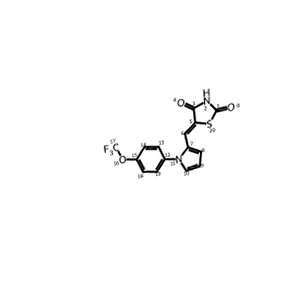 O=C1NC(=O)/C(=C/c2cccn2-c2ccc(OC(F)(F)F)cc2)S1